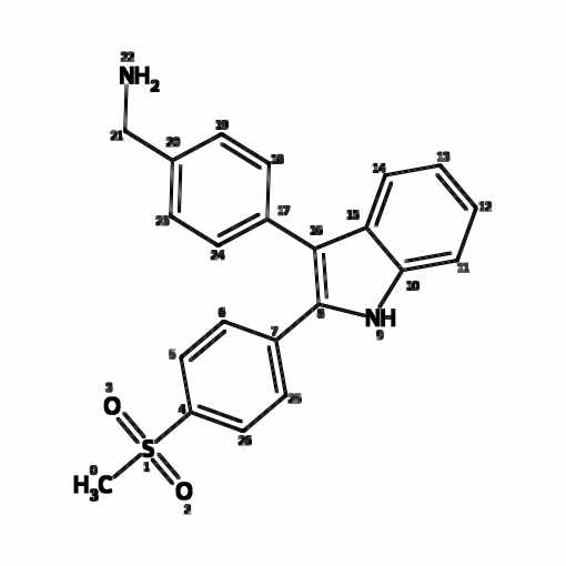 CS(=O)(=O)c1ccc(-c2[nH]c3ccccc3c2-c2ccc(CN)cc2)cc1